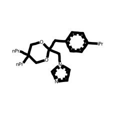 CCCC1(CCC)COC(Cc2ccc(C(C)C)cc2)(Cn2ccnc2)OC1